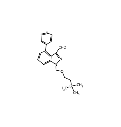 C[Si](C)(C)CCOCn1nc(C=O)c2c(-c3ccncc3)cccc21